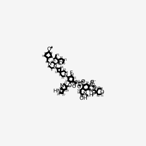 COc1ccc(CN2CCN(C3CC4(CCN(c5cc(Oc6cnc7[nH]ccc7c6)c(C(=O)NS(=O)(=O)c6cc([N+](=O)[O-])c(NCC7(F)CCOCC7)c7c6C=C[C@@H](O)N7C)cc5F)CC4)C3)[C@H](c3ccccc3C(C)C)C2)cc1